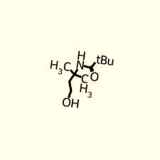 CC(C)(CCO)NC(=O)C(C)(C)C